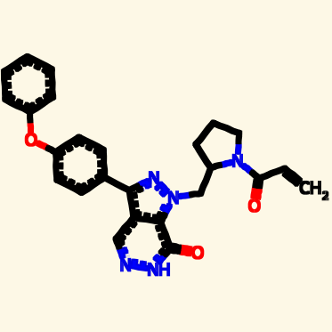 C=CC(=O)N1CCCC1Cn1nc(-c2ccc(Oc3ccccc3)cc2)c2cn[nH]c(=O)c21